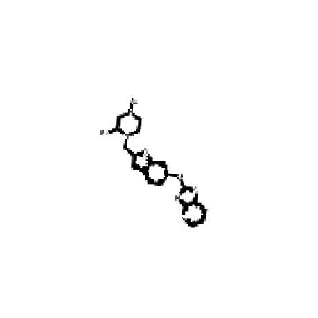 CCC1CN(C(C)=O)CCN1Cc1cc2ccc(Oc3nc4ncccc4s3)cc2o1